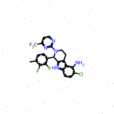 Cc1ccc(C2c3[nH]c4ccc(Cl)c(N)c4c3CCN2c2nccc(C(F)(F)F)n2)c(F)c1F